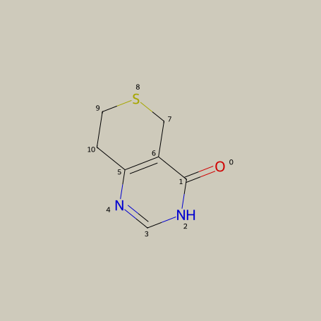 O=c1[nH]cnc2c1CSCC2